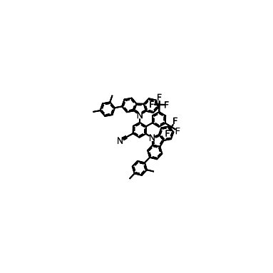 Cc1ccc(-c2ccc3c4ccccc4n(-c4cc(C#N)cc(-n5c6ccccc6c6ccc(-c7ccc(C)cc7C)cc65)c4-c4cc(C(F)(F)F)cc(C(F)(F)F)c4)c3c2)c(C)c1